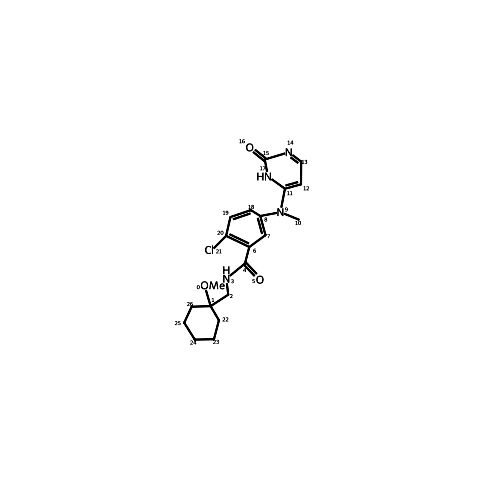 COC1(CNC(=O)c2cc(N(C)c3ccnc(=O)[nH]3)ccc2Cl)CCCCC1